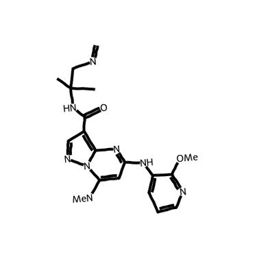 C=NCC(C)(C)NC(=O)c1cnn2c(NC)cc(Nc3cccnc3OC)nc12